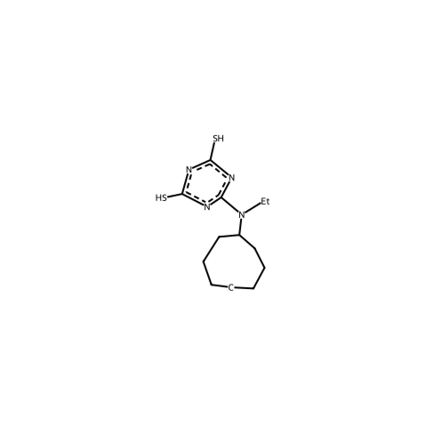 CCN(c1nc(S)nc(S)n1)C1CCCCCCC1